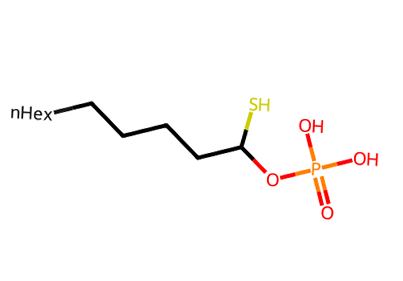 CCCCCCCCCCC(S)OP(=O)(O)O